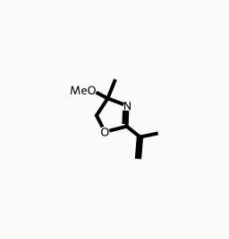 C=C(C)C1=NC(C)(OC)CO1